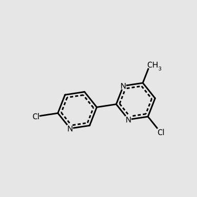 Cc1cc(Cl)nc(-c2ccc(Cl)nc2)n1